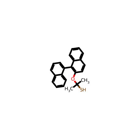 CC(C)(S)Oc1ccc2ccccc2c1-c1cccc2ccccc12